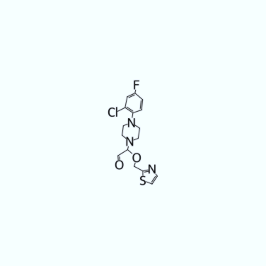 O=CC(OCc1nccs1)N1CCN(c2ccc(F)cc2Cl)CC1